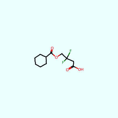 O=C(O)CC(F)(F)COC(=O)C1CCCCC1